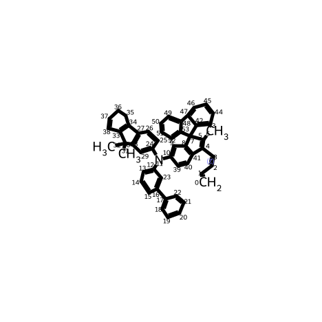 C=C/C=C\C1=C(C)C2(c3cc(N(c4cccc(-c5ccccc5)c4)c4ccc5c(c4)C(C)(C)C4=C5CCC=C4)ccc31)c1ccccc1-c1ccccc12